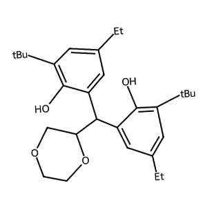 CCc1cc(C(c2cc(CC)cc(C(C)(C)C)c2O)C2COCCO2)c(O)c(C(C)(C)C)c1